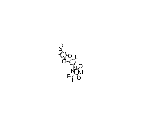 CCSc1cc(Oc2c(Cl)cc(-n3nc(C(F)F)c(=O)[nH]c3=O)cc2Cl)ncc1C